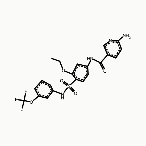 CCOc1cc(NC(=O)c2ccc(N)nc2)ccc1S(=O)(=O)Nc1cccc(OC(F)(F)F)c1